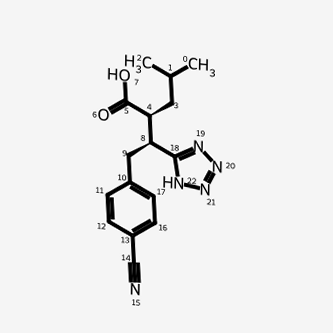 CC(C)C[C@H](C(=O)O)[C@H](Cc1ccc(C#N)cc1)c1nnn[nH]1